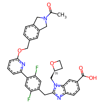 CC(=O)N1Cc2ccc(COc3cccc(-c4cc(F)c(Cc5nc6ccc(C(=O)O)cc6n5C[C@@H]5CCO5)cc4F)n3)cc2C1